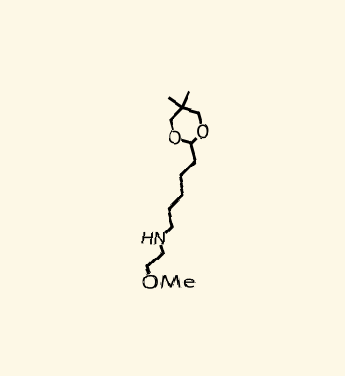 COCCNCCCCCC1OCC(C)(C)CO1